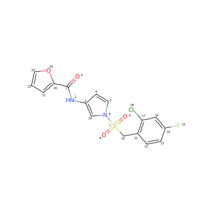 O=C(Nc1ccn(S(=O)(=O)Cc2ccc(F)cc2Cl)c1)c1ccco1